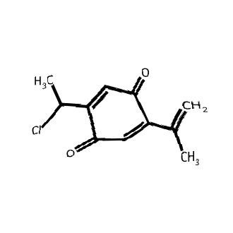 C=C(C)C1=CC(=O)C(C(C)Cl)=CC1=O